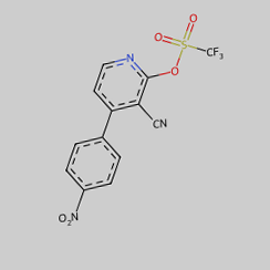 N#Cc1c(-c2ccc([N+](=O)[O-])cc2)ccnc1OS(=O)(=O)C(F)(F)F